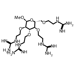 CO[C@H]1O[C@H](COCCNC(=N)N)[C@@H](OCCNC(=N)N)[C@H](OCCNC(=N)N)[C@H]1OCCNC(=N)N